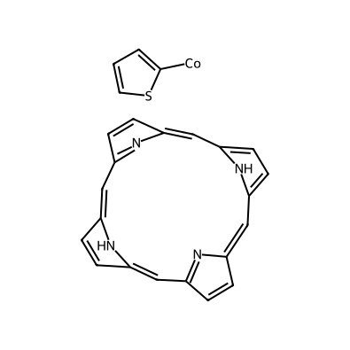 C1=Cc2cc3ccc(cc4nc(cc5ccc(cc1n2)[nH]5)C=C4)[nH]3.[Co][c]1cccs1